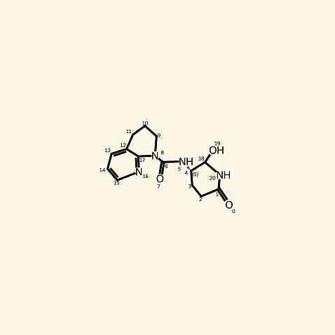 O=C1CC[C@H](NC(=O)N2CCCc3cccnc32)C(O)N1